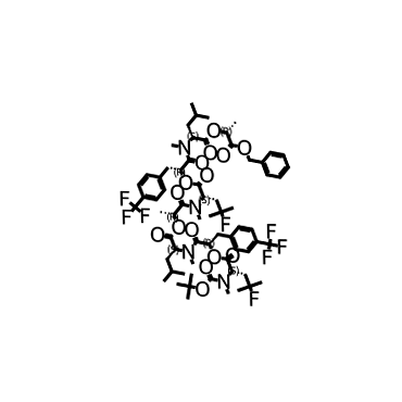 CC(C)C[C@@H](C(=O)O[C@H](C)C(=O)N(C)[C@@H](CC(C)(C)F)C(=O)O[C@H](Cc1ccc(C(F)(F)F)cc1)C(=O)N(C)[C@@H](CC(C)C)C(=O)O[C@H](C)C(=O)OCc1ccccc1)N(C)C(=O)[C@@H](Cc1ccc(C(F)(F)F)cc1)OC(=O)[C@H](CC(C)(C)F)N(C)C(=O)OC(C)(C)C